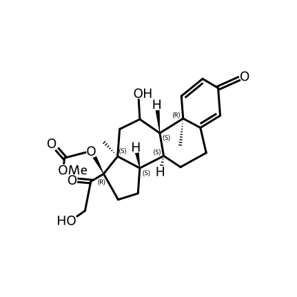 COC(=O)O[C@]1(C(=O)CO)CC[C@H]2[C@@H]3CCC4=CC(=O)C=C[C@]4(C)[C@H]3C(O)C[C@@]21C